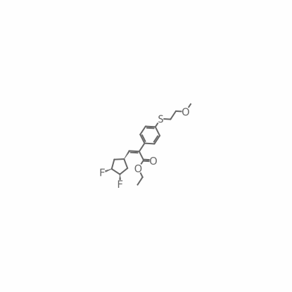 CCOC(=O)C(=C[C@H]1C[C@@H](F)[C@@H](F)C1)c1ccc(SCCOC)cc1